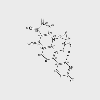 CCc1c(-c2ccc(F)nc2F)ccc2c(=O)c3c(=O)[nH]sc3n(C3CC3)c12